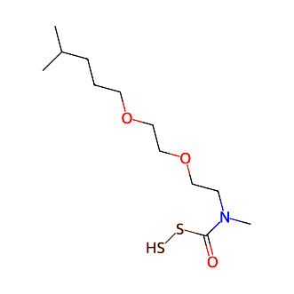 CC(C)CCCOCCOCCN(C)C(=O)SS